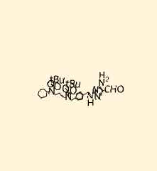 CC(C)(C)OC(=O)N(CCCN(C(=O)OC(C)(C)C)C1CCCCC1)Cc1ccc(CNc2ncc(C=O)c(N)n2)cc1